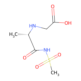 C[C@H](NCC(=O)O)C(=O)NS(C)(=O)=O